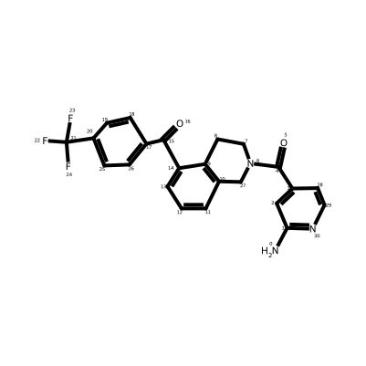 Nc1cc(C(=O)N2CCc3c(cccc3C(=O)c3ccc(C(F)(F)F)cc3)C2)ccn1